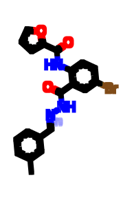 Cc1cccc(/C=N/NC(=O)c2cc(Br)ccc2NC(=O)c2ccco2)c1